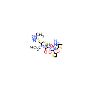 Cn1nnnc1SCC1=C(C(=O)O)N2C(=O)C(NC(=O)C(c3cccs3)N(C(N)=O)C(=O)c3cccs3)[C@@H]2SC1